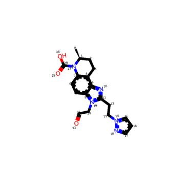 C[C@H]1CCc2c(ccc3c2nc(CCn2cccn2)n3CC=O)N1C(=O)O